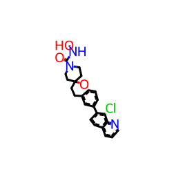 O=C(NO)N1CCC2(CCc3cc(-c4ccc5cccnc5c4Cl)ccc3O2)CC1